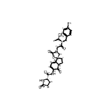 C[C@H](N(Cc1ccc(F)cc1)C(=O)CN1C[C@]2(CCC3C(=O)C(NC(=O)[C@@H]4CCC(=O)N4)=CC=C32)OC1=O)C(F)(F)F